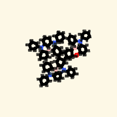 c1ccc(N2c3ccccc3B3c4cc5c(cc4Oc4cccc2c43)c2cc3c(cc2c2cc4c(cc52)N(c2ccccc2)c2cccc5c2B4c2ccccc2N5c2ccccc2)B2c4ccccc4N(c4ccccc4)c4cccc(c42)N3c2ccccc2)cc1